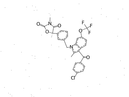 Cc1c(C(=O)c2ccc(Cl)cc2)c2ccc(OC(F)(F)F)cc2n1Cc1cccc([C@@]2(C)OC(=O)N(C)C2=O)c1